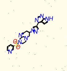 N#CCC(CN1CCN(S(=O)(=O)c2cccnc2)CC1)n1cc(-c2ncnc3[nH]ccc23)cn1